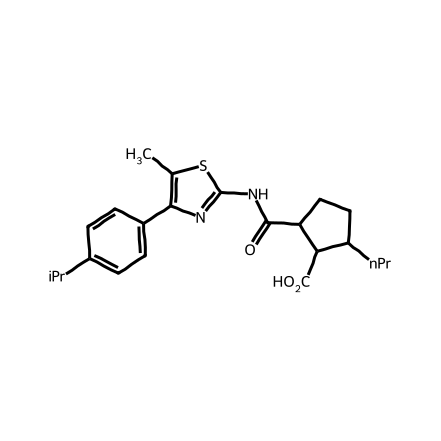 CCCC1CCC(C(=O)Nc2nc(-c3ccc(C(C)C)cc3)c(C)s2)C1C(=O)O